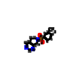 O=S(=O)(c1cccc(C(F)(F)F)c1)N1CCc2[c]ncnc2C1